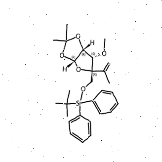 C=C(C)[C@]1(CO[Si](c2ccccc2)(c2ccccc2)C(C)(C)C)O[C@@H]2OC(C)(C)O[C@@H]2[C@@H]1OC